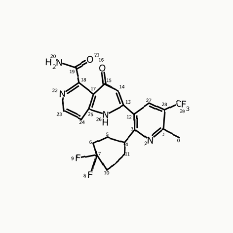 Cc1nc(C2CCC(F)(F)CC2)c(-c2cc(=O)c3c(C(N)=O)nccc3[nH]2)cc1C(F)(F)F